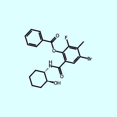 Cc1c(Br)cc(C(=O)N[C@H]2CCCC[C@@H]2O)c(OC(=O)c2ccccc2)c1F